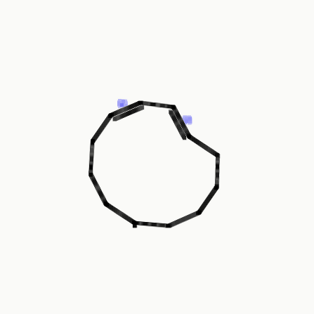 [CH]1CCC/C=C\C=C\CCCC1